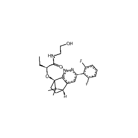 CC[C@H](O[C@@]12CC[C@@H](c3cc(-c4c(F)cccc4F)nnc31)C2(C)C)C(=O)NCCO